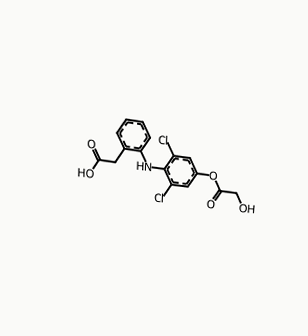 O=C(O)Cc1ccccc1Nc1c(Cl)cc(OC(=O)CO)cc1Cl